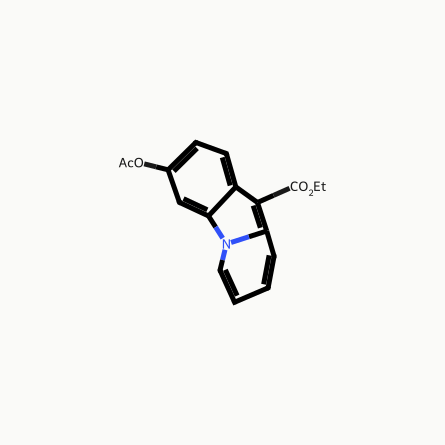 CCOC(=O)c1c2ccc(OC(C)=O)cc2n2ccccc12